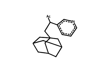 CC(=O)C(CC12CC3CC(CC(C3)C1)C2)c1cccnc1